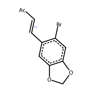 CC(=O)/C=C/c1cc2c(cc1Br)OCO2